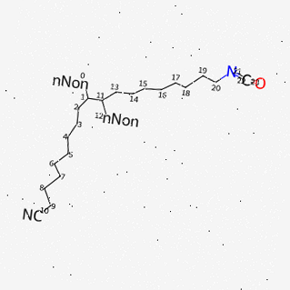 CCCCCCCCCC(CCCCCCCCC#N)C(CCCCCCCCC)CCCCCCCCN=C=O